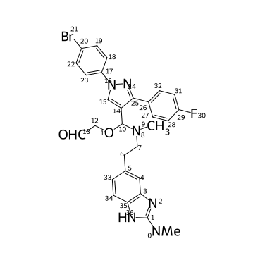 CNc1nc2cc(CCN(C)C(OCC=O)c3cn(-c4ccc(Br)cc4)nc3-c3ccc(F)cc3)ccc2[nH]1